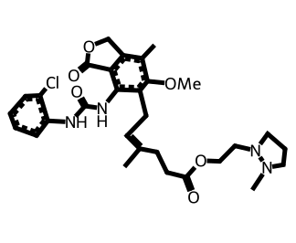 COc1c(C)c2c(c(NC(=O)Nc3ccccc3Cl)c1CC=C(C)CCC(=O)OCCN1CCCN1C)C(=O)OC2